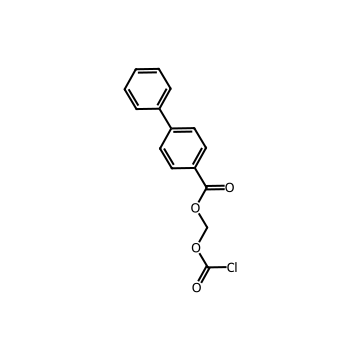 O=C(Cl)OCOC(=O)c1ccc(-c2ccccc2)cc1